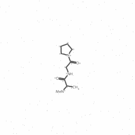 CNC(C)C(=O)NCC(=O)N1CCCC1